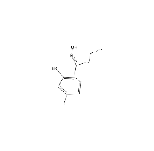 CCCC(=NO)c1ccc(C)cc1S